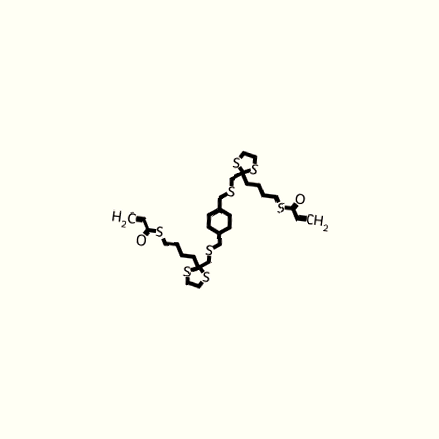 C=CC(=O)SCCCCC1(CSCC2CCC(CSCC3(CCCCSC(=O)C=C)SCCS3)CC2)SCCS1